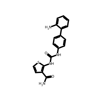 NC(=O)c1ccsc1NC(=O)Nc1ccc(-c2ccccc2N)cc1